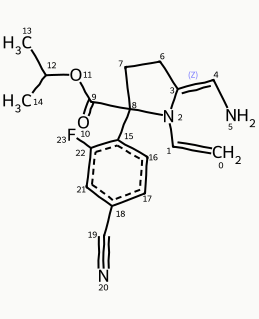 C=CN1/C(=C\N)CCC1(C(=O)OC(C)C)c1ccc(C#N)cc1F